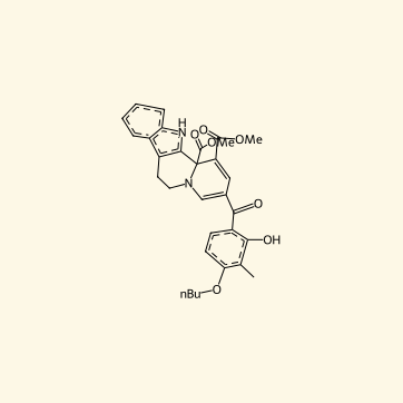 CCCCOc1ccc(C(=O)C2=CN3CCc4c([nH]c5ccccc45)C3(C(=O)OC)C(C(=O)OC)=C2)c(O)c1C